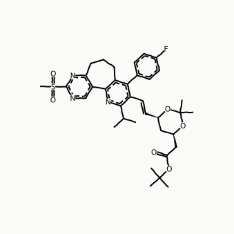 CC(C)c1nc2c(c(-c3ccc(F)cc3)c1/C=C/[C@@H]1C[C@H](CC(=O)OC(C)(C)C)OC(C)(C)O1)CCCc1nc(S(C)(=O)=O)ncc1-2